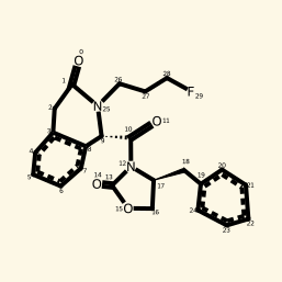 O=C1Cc2ccccc2[C@@H](C(=O)N2C(=O)OC[C@@H]2Cc2ccccc2)N1CCCF